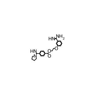 N=C(N)c1cccc(OCCOC(=O)c2ccc(C(=N)N3CCCC3)cc2)c1